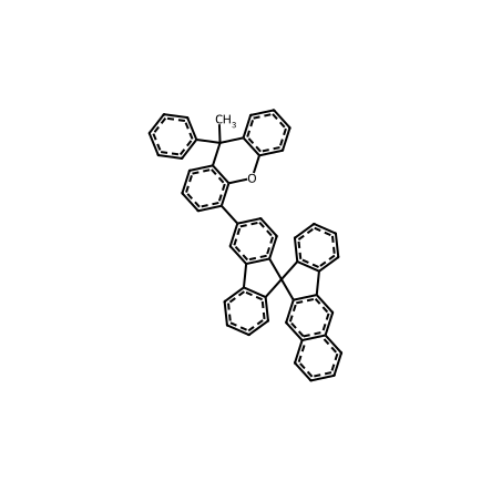 CC1(c2ccccc2)c2ccccc2Oc2c(-c3ccc4c(c3)-c3ccccc3C43c4ccccc4-c4cc5ccccc5cc43)cccc21